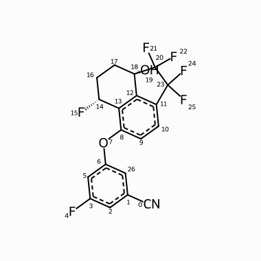 N#Cc1cc(F)cc(Oc2ccc3c4c2[C@H](F)CC[C@@]4(O)C(F)(F)C3(F)F)c1